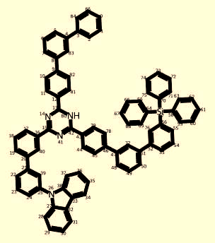 c1ccc(-c2cccc(-c3ccc(C4N=C(c5cccc(-c6cccc(-n7c8ccccc8c8ccccc87)c6)c5)N=C(c5ccc(-c6cccc(-c7cccc([Si](c8ccccc8)(c8ccccc8)c8ccccc8)c7)c6)cc5)N4)cc3)c2)cc1